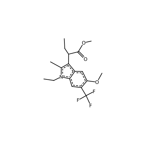 CCC(C(=O)OC)c1c(C)n(CC)c2cc(C(F)(F)F)c(OC)cc12